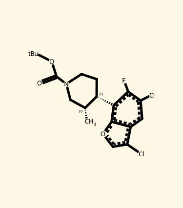 C[C@@H]1CN(C(=O)OC(C)(C)C)CC[C@@H]1c1c(F)c(Cl)cc2c(Cl)coc12